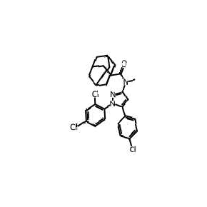 CN(C(=O)C12CC3CC(CC(C3)C1)C2)c1cc(-c2ccc(Cl)cc2)n(-c2ccc(Cl)cc2Cl)n1